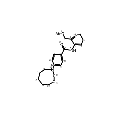 COCC1=NCCC=C1NC(=O)c1ccc(N2CCCCCOC2)cc1